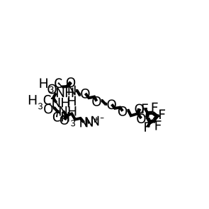 C[C@H](NC(=O)CCCN=[N+]=[N-])C(=O)N[C@@H](C)C(=O)N[C@@H](C)C(=O)NCCOCCOCCOCCOCCC(=O)Oc1c(F)c(F)c(F)c(F)c1F